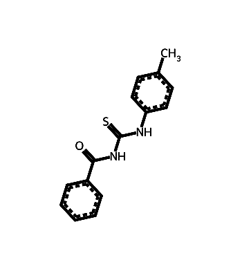 Cc1ccc(NC(=S)NC(=O)c2ccccc2)cc1